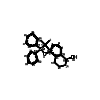 CC(C)(C)[Si](Oc1cccc2c1CCC[C@@H]2O)(c1ccccc1)c1ccccc1